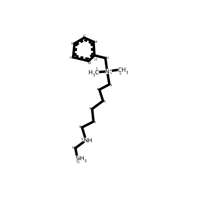 C[N+](C)(CCCCCCNC[SiH3])Cc1ccccc1